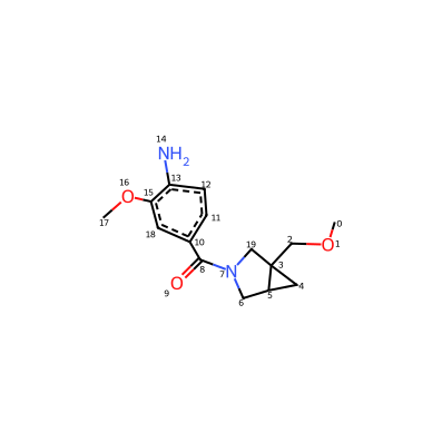 COCC12CC1CN(C(=O)c1ccc(N)c(OC)c1)C2